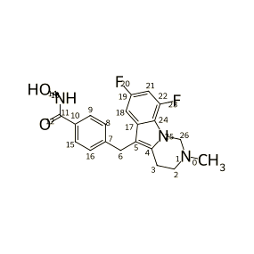 CN1CCc2c(Cc3ccc(C(=O)NO)cc3)c3cc(F)cc(F)c3n2C1